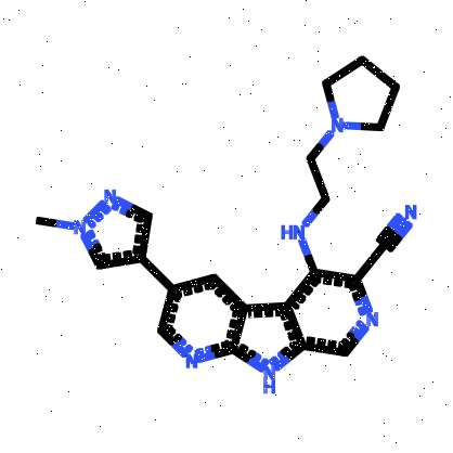 Cn1cc(-c2cnc3[nH]c4cnc(C#N)c(NCCN5CCCC5)c4c3c2)cn1